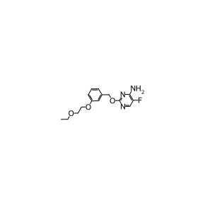 CCOCCOc1cccc(COc2ncc(F)c(N)n2)c1